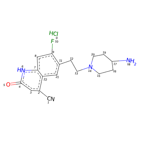 Cl.N#Cc1cc(=O)[nH]c2cc(F)c(CCN3CCC(N)CC3)cc12